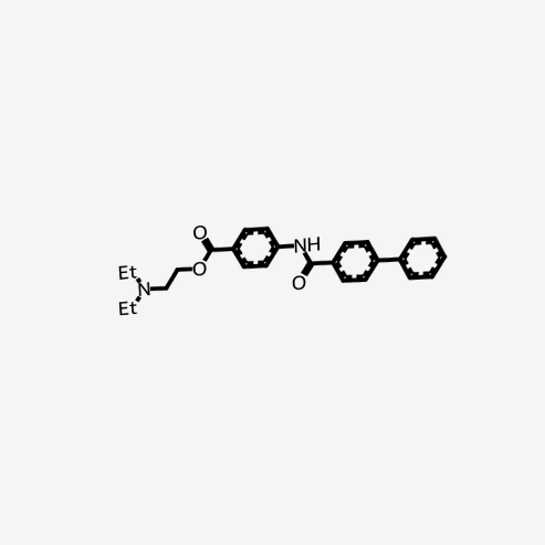 CCN(CC)CCOC(=O)c1ccc(NC(=O)c2ccc(-c3ccccc3)cc2)cc1